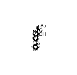 CCCCOC(=O)c1ncc2ccc(Oc3ccccc3)cc2c1O